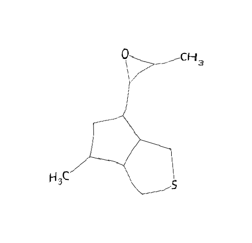 CC1CC(C2OC2C)C2CSCC12